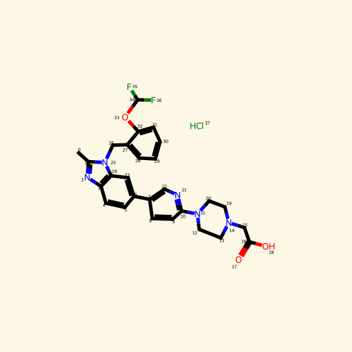 Cc1nc2ccc(-c3ccc(N4CCN(CC(=O)O)CC4)nc3)cc2n1Cc1ccccc1OC(F)F.Cl